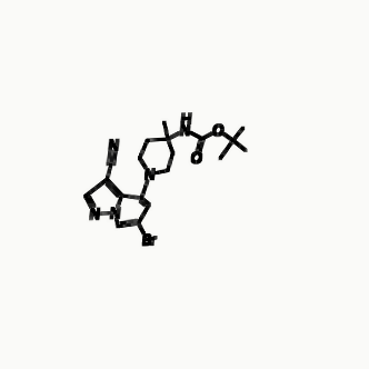 CC1(NC(=O)OC(C)(C)C)CCN(c2cc(Br)cn3ncc(C#N)c23)CC1